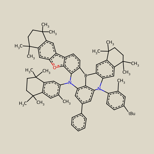 Cc1cc(C(C)(C)C)ccc1N1c2cc3c(cc2B2c4ccc5c(oc6cc7c(cc65)C(C)(C)CCC7(C)C)c4N(c4cc5c(cc4C)C(C)(C)CCC5(C)C)c4cc(-c5ccccc5)cc1c42)C(C)(C)CCC3(C)C